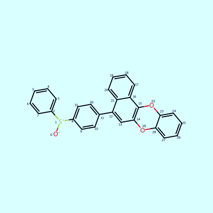 [O-][S+](c1ccccc1)c1ccc(-c2cc3c(c4ccccc24)Oc2ccccc2O3)cc1